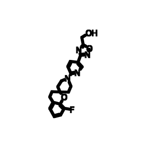 OCc1nc(-c2ccc(N3CCC4(CCc5cccc(F)c5O4)CC3)nc2)no1